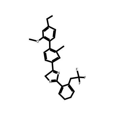 CCc1ccc(-c2ccc(C3=NC(C4=CCCC=C4CC(F)(F)F)=NC3)cc2C)c(OC)c1